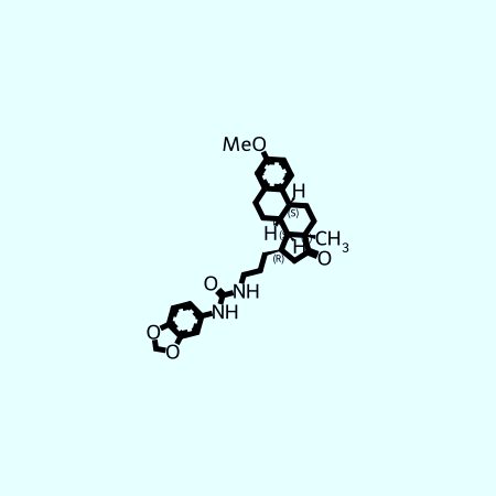 COc1ccc2c(c1)CC[C@H]1[C@@H]3[C@H](CCCNC(=O)Nc4ccc5c(c4)OCO5)CC(=O)[C@@]3(C)CC[C@H]21